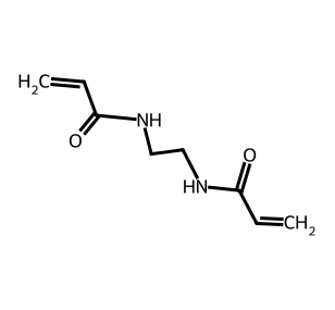 C=CC(=O)NCCNC(=O)C=C